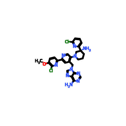 COc1ccc(-c2cc(Cn3cnc4c(N)ncnc43)c(N3CCC[C@](N)(c4cccc(Cl)n4)C3)cn2)nc1Cl